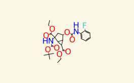 CCOC(=O)C1C2C(OC(=O)Nc3ccccc3F)CC(NC(=O)OC(C)(C)C)(C(=O)OCC)C12